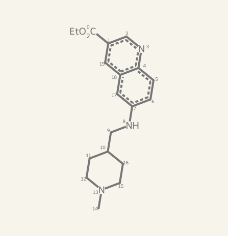 CCOC(=O)c1cnc2ccc(NCC3CCN(C)CC3)cc2c1